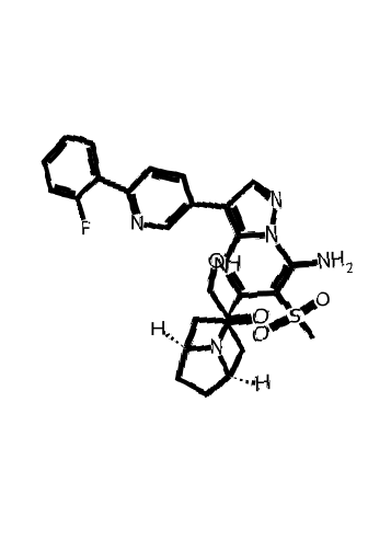 CS(=O)(=O)c1c([C@H]2C[C@H]3CC[C@@H](C2)N3C(=O)CO)nc2c(-c3ccc(-c4ccccc4F)nc3)cnn2c1N